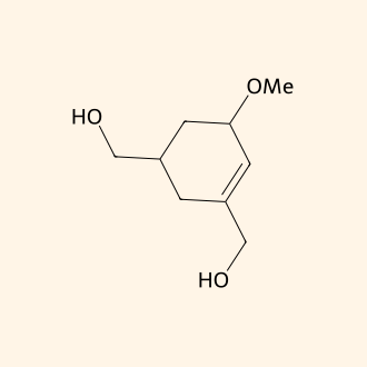 COC1C=C(CO)CC(CO)C1